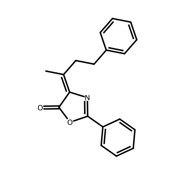 CC(CCc1ccccc1)=C1N=C(c2ccccc2)OC1=O